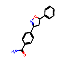 NC(=O)c1ccc(C2=NOC(c3ccccc3)C2)cc1